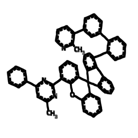 Cc1cc(-c2ccccc2)nc(-c2cccc3c2Oc2ccccc2C32c3ccccc3-c3c(-c4ccccc4-c4cccc(-c5cccnc5C)c4)cccc32)n1